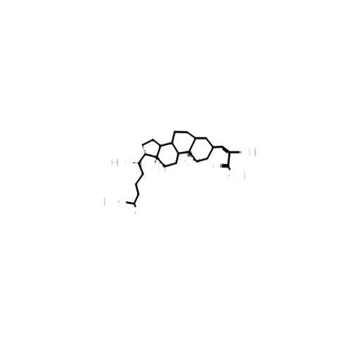 CC(=CC1CC[C@@]2(C)C(CCC3C2CC[C@@]2(C)C3CC[C@@H]2[C@H](C)CCCC(C)C)C1)C(=O)O